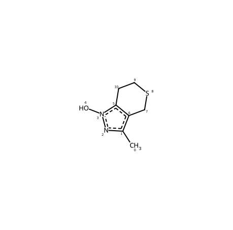 Cc1nn(O)c2c1CSCC2